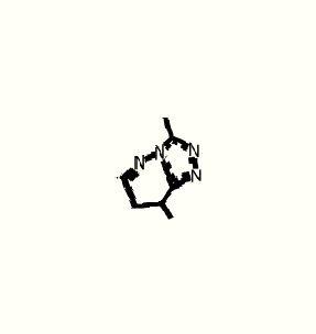 Cc1nnc2n1N=[C]CC2C